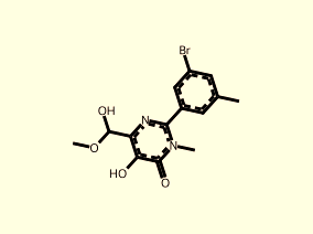 COC(O)c1nc(-c2cc(C)cc(Br)c2)n(C)c(=O)c1O